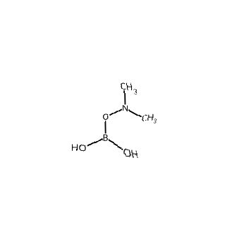 CN(C)OB(O)O